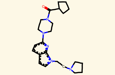 O=C(C1CCCC1)N1CCN(c2ccc3ccn(CCN4CCCC4)c3n2)CC1